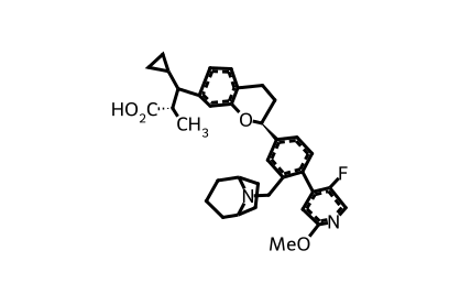 COc1cc(-c2ccc([C@@H]3CCc4ccc(C(C5CC5)[C@H](C)C(=O)O)cc4O3)cc2CN2C3CCCC2CC3)c(F)cn1